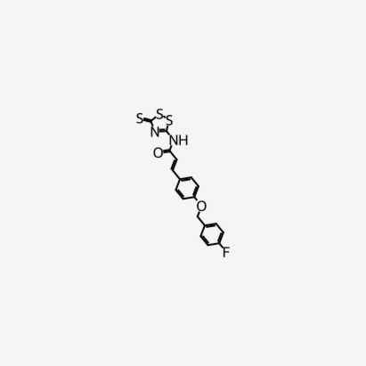 O=C(C=Cc1ccc(OCc2ccc(F)cc2)cc1)Nc1nc(=S)ss1